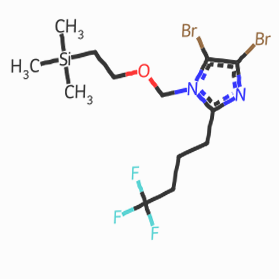 C[Si](C)(C)CCOCn1c(CCCC(F)(F)F)nc(Br)c1Br